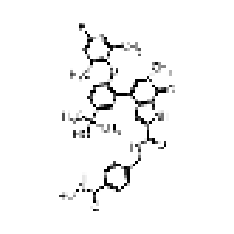 Cc1cc(F)cc(C)c1Oc1ccc(C(C)(C)O)cc1-c1cn(C)c(=O)c2[nH]c(C(=O)NCc3ccc(C(=O)NO)cc3)cc12